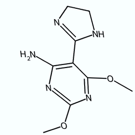 COc1nc(N)c(C2=NCCN2)c(OC)n1